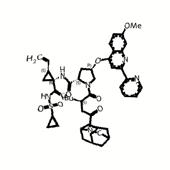 C=C[C@@H]1C[C@]1(NC(=O)[C@@H]1C[C@@H](Oc2cc(-c3ccccn3)nc3cc(OC)ccc23)CN1C(=O)[C@@H](CC(=O)N1CC2CC3CC(C2)CC1C3)C(C)(C)C)C(=O)NS(=O)(=O)C1CC1